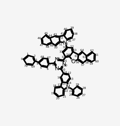 c1ccc(-c2ccc(-c3nc(-c4ccc5c(c4)c4ccccc4n5-c4ccccc4)nc(-c4cc(-n5c6ccccc6c6cc7ccccc7cc65)cc5c4oc4cc6ccccc6cc45)n3)cc2)cc1